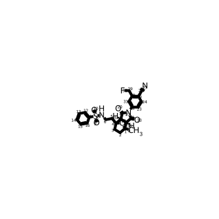 CC12CCC(CCNS(=O)(=O)c3ccccc3)(O1)[C@@H]1C(=O)N(c3ccc(C#N)c(CF)c3)C(=O)[C@@H]12